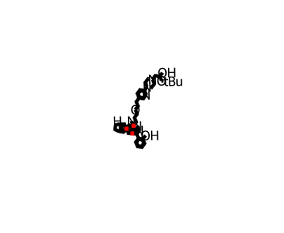 CC(C)(C)OC(O)CN1CCN(c2ccc(CCOCCCc3cc(N4C5CCC4CN(c4cc(-c6ccccc6O)nnc4N)C5)ccn3)cn2)CC1